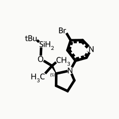 CC(C)(C)[SiH2]OC(C)(C)[C@@H]1CCCN1c1cncc(Br)c1